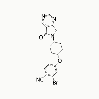 N#Cc1ccc(O[C@H]2CC[C@H](N3Cc4ncncc4C3=O)CC2)cc1Br